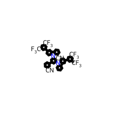 N#Cc1cccc(-c2cc(-n3c4ccccc4c4cc(-c5cc(C(F)(F)F)cc(C(F)(F)F)c5)ccc43)c(C#N)c(-n3c4ccccc4c4cc(-c5cc(C(F)(F)F)cc(C(F)(F)F)c5)ccc43)c2)c1